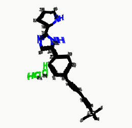 C[Si](C)(C)C#CC#Cc1ccc(-c2cnc(C3CCCN3)[nH]2)cc1.Cl.Cl